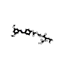 COc1cc(/C=C/c2ccc(OC(=O)OCCNC(=O)C(CC(C)C)NC(=O)O)cc2)cc(OC)c1